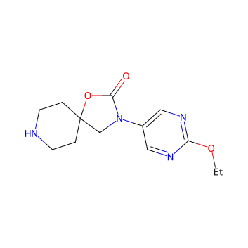 CCOc1ncc(N2CC3(CCNCC3)OC2=O)cn1